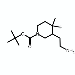 CC(C)(C)OC(=O)N1CCC(C)(F)C(CCN)C1